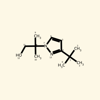 CC(C)(C)c1ccn(C(C)(C)CO)n1